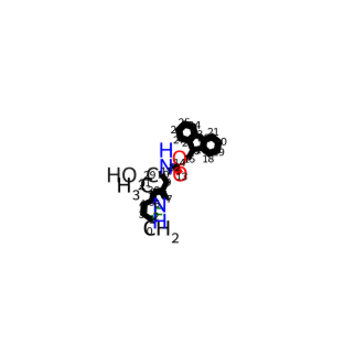 C=C(F)/C=C\c1[nH]cc(CC(NC(=O)OCC2c3ccccc3-c3ccccc32)C(=O)O)c1C